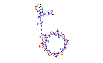 C=CC(=O)N1CCN(c2nc(NCCC(=O)NCCCCCCNC(=O)CCC[C@@H](C)[C@@H](O)[C@H]3C(=O)N[C@@H](CC)C(=O)N(C)CC(=O)N(C)[C@@H](CC(C)C)C(=O)N[C@@H](C(C)C)C(=O)N(C)[C@@H](CC(C)C)C(=O)N[C@@H](C)C(=O)N[C@H](C)C(=O)N(C)[C@@H](CC(C)C)C(=O)N(C)[C@@H](CC(C)C)C(=O)N(C)[C@@H](C(C)C)C(=O)N3C)nc3c4c(c(Cl)cc23)-c2c(F)cccc2OC/C=C/4)CC1